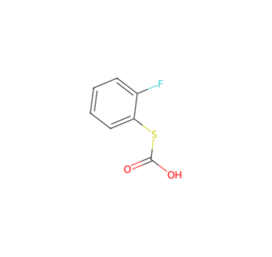 O=C(O)Sc1ccccc1F